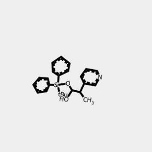 CC(c1cccnc1)C(O)O[Si](c1ccccc1)(c1ccccc1)C(C)(C)C